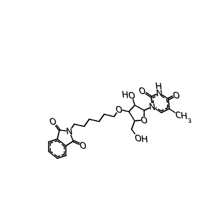 Cc1cn(C2OC(CO)C(OCCCCCCN3C(=O)c4ccccc4C3=O)C2O)c(=O)[nH]c1=O